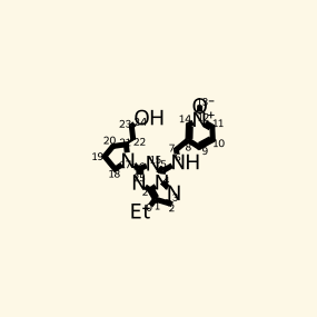 CCc1cnn2c(NCc3ccc[n+]([O-])c3)nc(N3CCC[C@H]3CCO)nc12